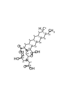 CCCCCCCCCC(C(=O)O)N(CCN(CC(=O)O)CC(=O)O)C(CCCCCCCCC)C(=O)O